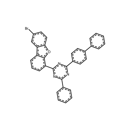 Brc1ccc2oc3c(-c4nc(-c5ccccc5)nc(-c5ccc(-c6ccccc6)cc5)n4)cccc3c2c1